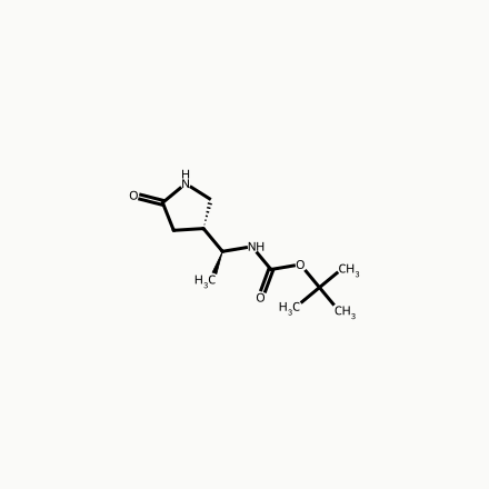 C[C@H](NC(=O)OC(C)(C)C)[C@H]1CNC(=O)C1